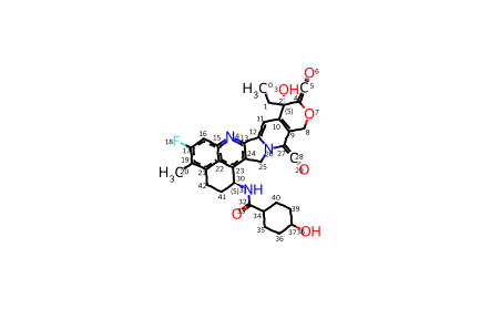 CC[C@@]1(O)C(=C=O)OCC2=C1C=C1c3nc4cc(F)c(C)c5c4c(c3CN1C2=C=O)[C@@H](NC(=O)C1CCC(O)CC1)CC5